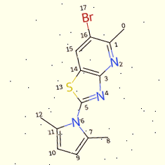 Cc1nc2nc(-n3c(C)ccc3C)sc2cc1Br